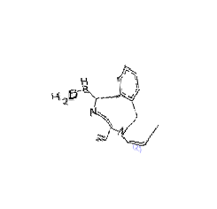 BBC1N=C(C=C)N(/C=C\C)Cc2ccccc21